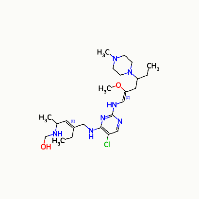 CC/C(=C\C(C)NCO)CNc1nc(N/C=C(/CC(CC)N2CCN(C)CC2)OC)ncc1Cl